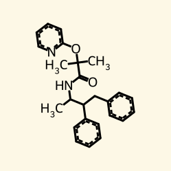 CC(NC(=O)C(C)(C)Oc1ccccn1)C(Cc1ccccc1)c1ccccc1